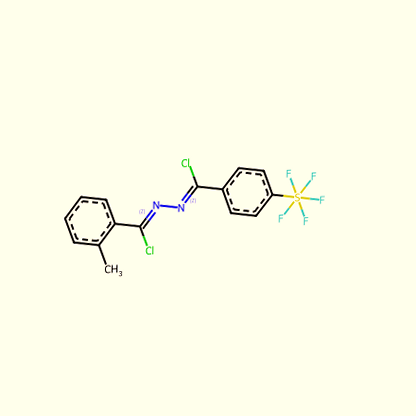 Cc1ccccc1/C(Cl)=N/N=C(\Cl)c1ccc(S(F)(F)(F)(F)F)cc1